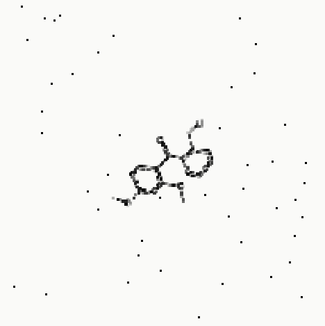 COc1ccc(C(=O)c2ccccc2CCl)c(OC)c1